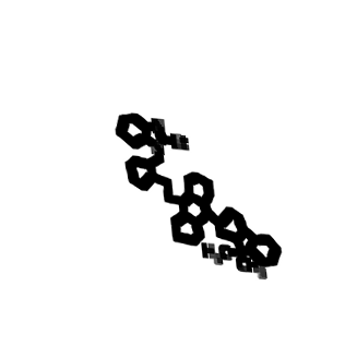 CCc1nc2ccccc2n1Cc1ccccc1CCc1c2ccccc2c(-c2ccc3c(c2)C(C)(C)c2ccccc2-3)c2ccccc12